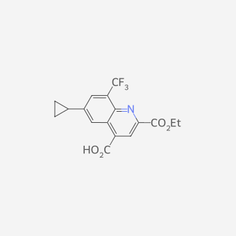 CCOC(=O)c1cc(C(=O)O)c2cc(C3CC3)cc(C(F)(F)F)c2n1